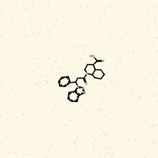 O=C(O)C1CCN(C(=O)CC(c2ccccc2)n2nnc3ccccc32)C2CCCCC12